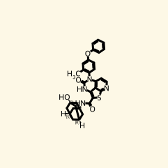 Cc1cc(Oc2ccccc2)ccc1N1C(=O)Nc2c(C(=O)N[C@]34C[C@@H]5C[C@@H](C[C@@](O)(C5)C3)C4)sc3nccc1c23